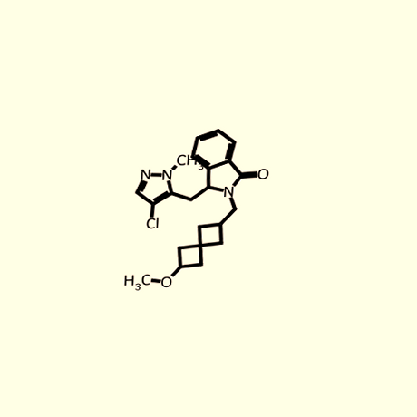 COC1CC2(CC(CN3C(=O)c4ccccc4C3Cc3c(Cl)cnn3C)C2)C1